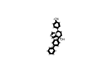 N#Cc1ccc([C@H]2CC[C@@](O)(c3ccc(-c4ccccc4)cc3)c3cncn32)cc1